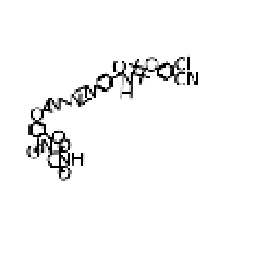 CC1(C)C(NC(=O)c2ccc(N3CCN(CCN4CC(Oc5ccc6c(c5)C(=O)N(C5CCC(=O)NC5=O)C6=O)C4)CC3)cc2)C(C)(C)C1Oc1ccc(C#N)c(Cl)c1